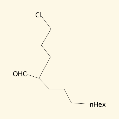 CCCCCCCCCC(C=O)CCCCl